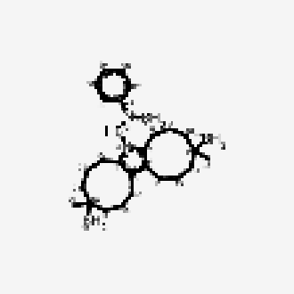 BN(Bn1c2c(c3c1CCCC(B)(C)CCC3)CCCC(B)(C)CCC2)c1ccccc1